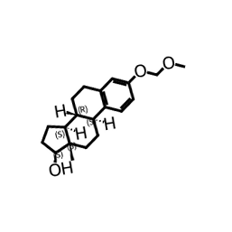 COCOc1ccc2c(c1)CC[C@@H]1[C@@H]2CC[C@]2(C)[C@@H](O)CC[C@@H]12